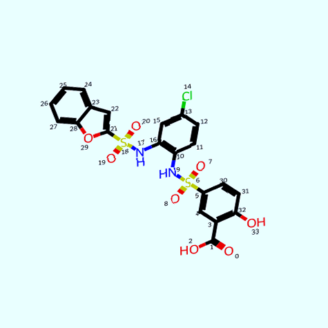 O=C(O)c1cc(S(=O)(=O)Nc2ccc(Cl)cc2NS(=O)(=O)c2cc3ccccc3o2)ccc1O